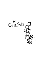 CCC(C=O)NCCCc1cc(Cl)ccc1Oc1cc(F)c(S(=O)(=O)Nc2nccs2)cc1Cl